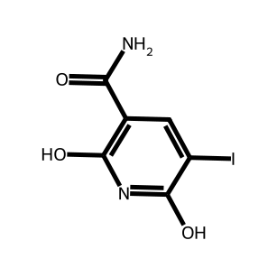 NC(=O)c1cc(I)c(O)nc1O